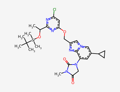 CC(O[Si](C)(C)C(C)(C)C)c1nc(Cl)cc(OCc2cn3cc(C4CC4)cc(N4CC(=O)N(C)C4=O)c3n2)n1